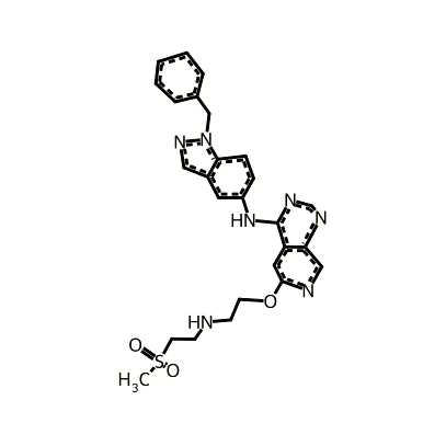 CS(=O)(=O)CCNCCOc1cc2c(Nc3ccc4c(cnn4Cc4ccccc4)c3)ncnc2cn1